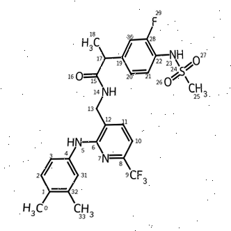 Cc1ccc(Nc2nc(C(F)(F)F)ccc2CNC(=O)C(C)c2ccc(NS(C)(=O)=O)c(F)c2)cc1C